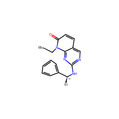 CC[C@H](Nc1ncc2ccc(=O)n(CC(C)(C)C)c2n1)c1ccccc1